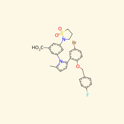 Cc1ccc(-c2cc(Br)ccc2OCc2ccc(F)cc2)n1-c1cc(C(=O)O)cc(N2CCCS2(=O)=O)c1